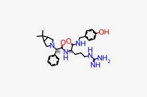 CC1(C)C2CN([C@@H](C(=O)N[C@H](CCCNC(=N)N)C(=O)NCc3ccc(O)cc3)c3ccccc3)CC21